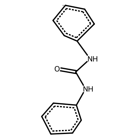 O=C(Nc1cc[c]cc1)Nc1ccccc1